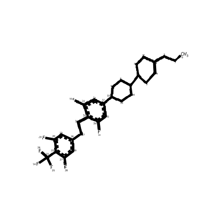 CCCC1CCC(C2CCC(c3cc(F)c(CCc4cc(F)c(C(F)(F)F)c(F)c4)c(F)c3)CC2)CC1